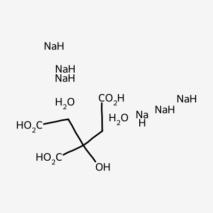 O.O.O=C(O)CC(O)(CC(=O)O)C(=O)O.[NaH].[NaH].[NaH].[NaH].[NaH].[NaH]